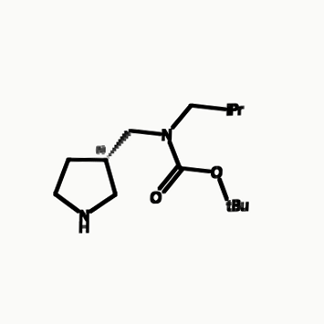 CC(C)CN(C[C@H]1CCNC1)C(=O)OC(C)(C)C